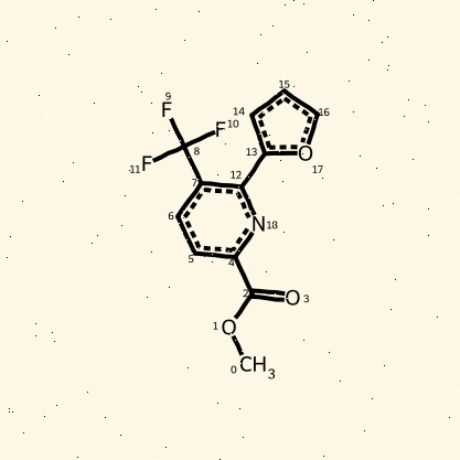 COC(=O)c1ccc(C(F)(F)F)c(-c2ccco2)n1